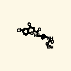 CC(C)(C)OC(=O)NC12CC(NC(=O)C3CC(=O)c4cc(Cl)ccc4O3)(C1)C2